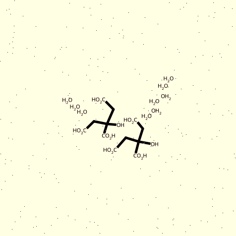 O.O.O.O.O.O.O.O.O.O=C(O)CC(O)(CC(=O)O)C(=O)O.O=C(O)CC(O)(CC(=O)O)C(=O)O